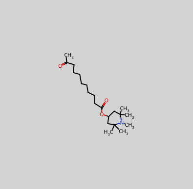 CC(=O)CCCCCCCCC(=O)OC1CC(C)(C)N(C)C(C)(C)C1